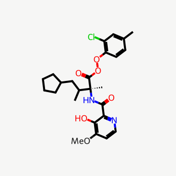 COc1ccnc(C(=O)N[C@](C)(C(=O)OOc2ccc(C)cc2Cl)C(C)CC2CCCC2)c1O